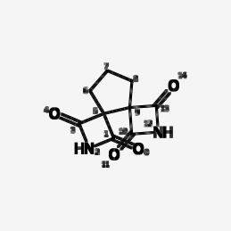 O=C1NC(=O)C12CCCC21C(=O)NC1=O